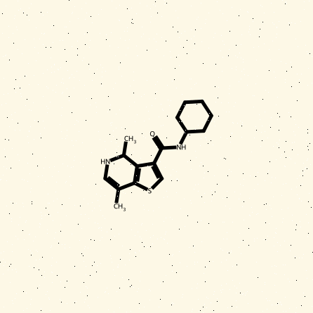 CC1=CNC(C)c2c(C(=O)NC3CCCCC3)csc21